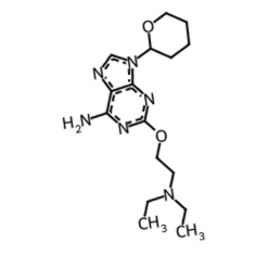 CCN(CC)CCOc1nc(N)c2ncn(C3CCCCO3)c2n1